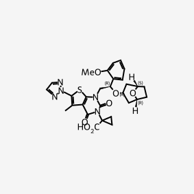 COc1ccccc1[C@H](Cn1c(=O)n(C2(C(=O)O)CC2)c(=O)c2c(C)c(-n3nccn3)sc21)O[C@H]1C[C@H]2CC[C@@H](C1)O2